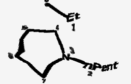 CCC.CCCCCN1CCCC1